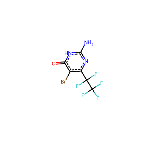 Nc1nc(C(F)(F)C(F)(F)F)c(Br)c(=O)[nH]1